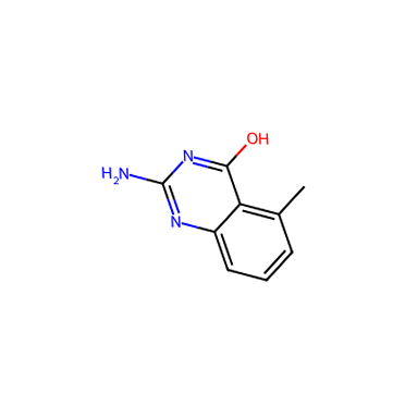 Cc1cccc2nc(N)nc(O)c12